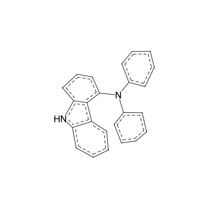 c1ccc(N(c2ccccc2)c2cccc3[nH]c4ccccc4c23)cc1